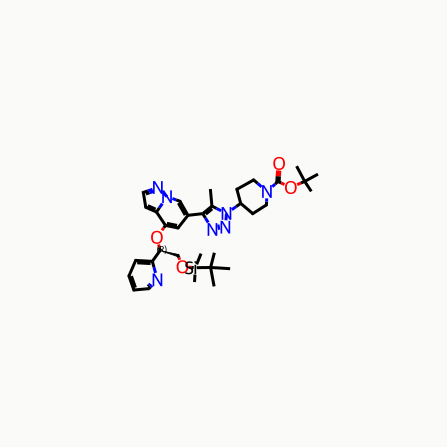 Cc1c(-c2cc(O[C@@H](CO[Si](C)(C)C(C)(C)C)c3ccccn3)c3ccnn3c2)nnn1C1CCN(C(=O)OC(C)(C)C)CC1